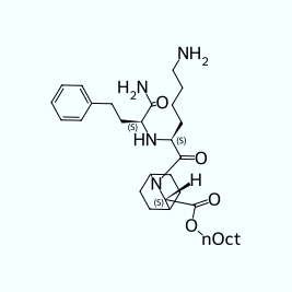 CCCCCCCCOC(=O)[C@@H]1C2CCC(CC2)N1C(=O)[C@H](CCCCN)N[C@@H](CCc1ccccc1)C(N)=O